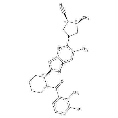 Cc1cn2nc([C@@H]3CCCCN3C(=O)c3cccc(F)c3C)cc2nc1N1C[C@@H](C#N)[C@@H](C)C1